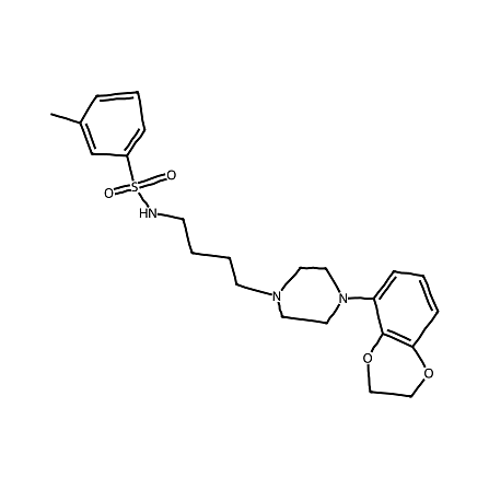 Cc1cccc(S(=O)(=O)NCCCCN2CCN(c3cccc4c3OCCO4)CC2)c1